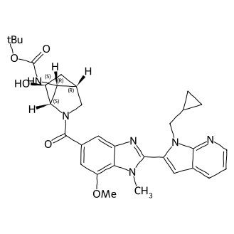 COc1cc(C(=O)N2C[C@H]3C[C@H](O)[C@@H]2[C@@H]3NC(=O)OC(C)(C)C)cc2nc(-c3cc4cccnc4n3CC3CC3)n(C)c12